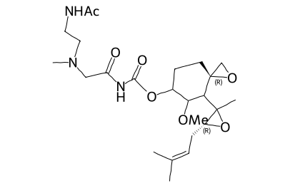 COC1C(OC(=O)NC(=O)CN(C)CCNC(C)=O)CC[C@]2(CO2)C1C1(C)O[C@@H]1CC=C(C)C